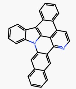 c1ccc2cc3c(cc2c1)c1nccc2c4ccccc4c4c5ccccc5n3c4c21